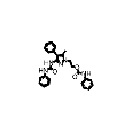 Cc1c(-c2ccccc2)c(NC(=O)Nc2ccccc2)nn1CCOC(=O)Nc1ccccc1